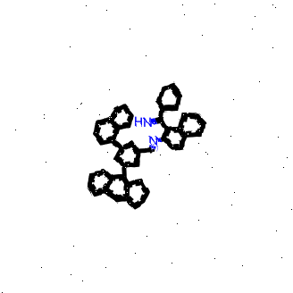 N=C(C1=CC=CCC1)c1c(/N=C/c2cc(-c3cccc4ccccc34)cc(-c3c4ccccc4cc4ccccc34)c2)ccc2ccccc12